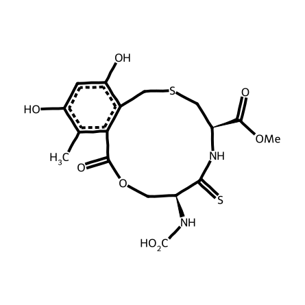 COC(=O)[C@@H]1CSCc2c(O)cc(O)c(C)c2C(=O)OC[C@H](NC(=O)O)C(=S)N1